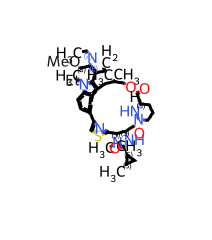 C=C/C(=C(\N=C/C)[C@H](C)OC)c1c2c3cc(ccc3n1CC)-c1csc(n1)[C@@H](N(C)C)[C@H](NC(=O)[C@H]1C[C@@H]1C)C(=O)N1CCC[C@H](N1)C(=O)OCC(C)(C)C2